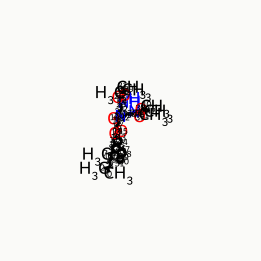 CC(C)CCC[C@@H](C)C1C=C2CC(OC(=O)CCC(=O)N(CCCNC(=O)OC(C)(C)C)CCCNC(=O)OC(C)(C)C)CCC2C2CCC3CCCC3C21